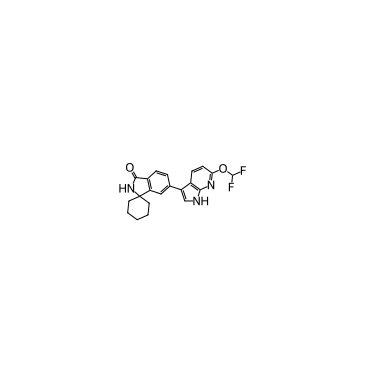 O=C1NC2(CCCCC2)c2cc(-c3c[nH]c4nc(OC(F)F)ccc34)ccc21